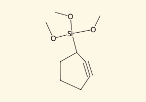 CO[Si](OC)(OC)C1C#CCCC1